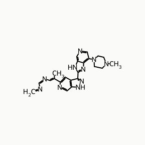 C=N/C=N\C=C(/C)c1cc2c(-c3nc4c(N5CCN(C)CC5)cncc4[nH]3)n[nH]c2cn1